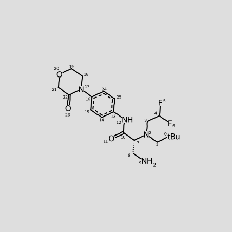 CC(C)(C)CN(CC(F)F)[C@H](CN)C(=O)Nc1ccc(N2CCOCC2=O)cc1